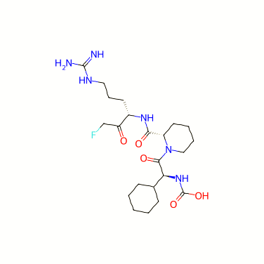 N=C(N)NCCC[C@H](NC(=O)[C@@H]1CCCCN1C(=O)[C@@H](NC(=O)O)C1CCCCC1)C(=O)CF